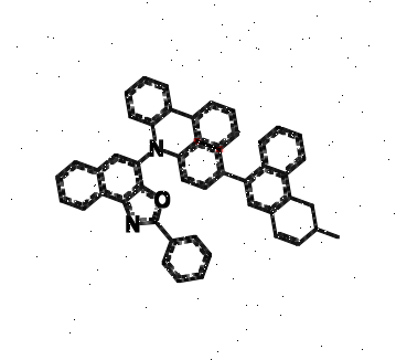 CC1C=Cc2cc(-c3ccc(N(c4ccccc4-c4ccccc4)c4cc5ccccc5c5nc(-c6ccccc6)oc45)cc3)c3ccccc3c2C1